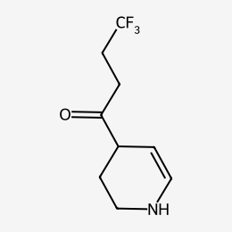 O=C(CCC(F)(F)F)C1C=CNCC1